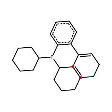 C1=CC(c2ccccc2P(C2CCCCC2)C2CCCCC2)=CCC1